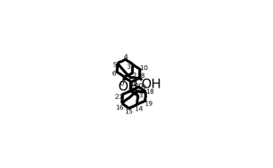 OC12CC3CC(C1)CC(O)(C3)C2C12CC3CC(CC(C3)C1)C2